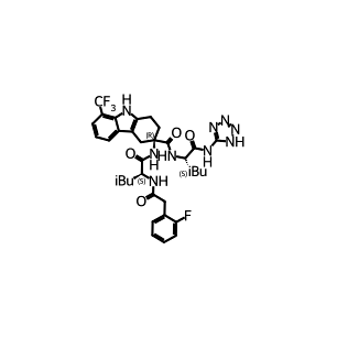 CCC(C)[C@H](NC(=O)Cc1ccccc1F)C(=O)N[C@]1(C(=O)NC(C(=O)Nc2nnn[nH]2)[C@@H](C)CC)CCc2[nH]c3c(C(F)(F)F)cccc3c2C1